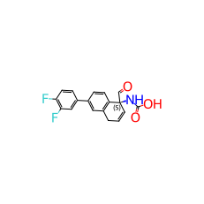 O=C[C@]1(NC(=O)O)C=CCc2cc(-c3ccc(F)c(F)c3)ccc21